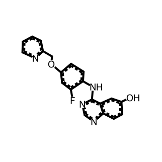 Oc1ccc2ncnc(Nc3ccc(OCc4ccccn4)cc3F)c2c1